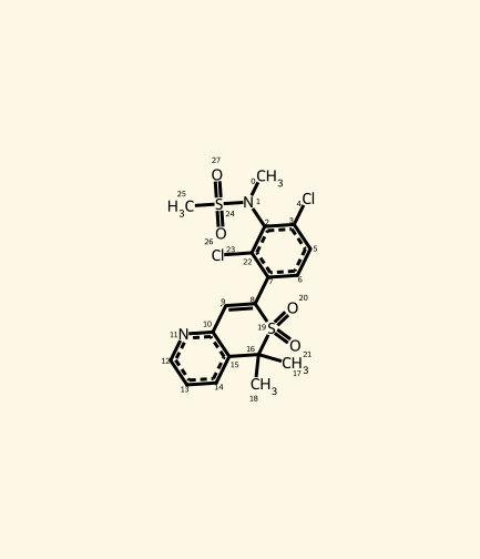 CN(c1c(Cl)ccc(C2=[C]c3ncccc3C(C)(C)S2(=O)=O)c1Cl)S(C)(=O)=O